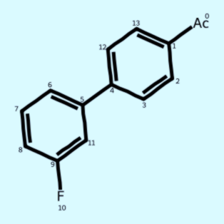 CC(=O)c1ccc(-c2cccc(F)c2)cc1